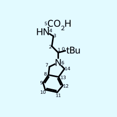 CC(C)(C)C(CCNC(=O)O)N1Cc2ccccc2C1